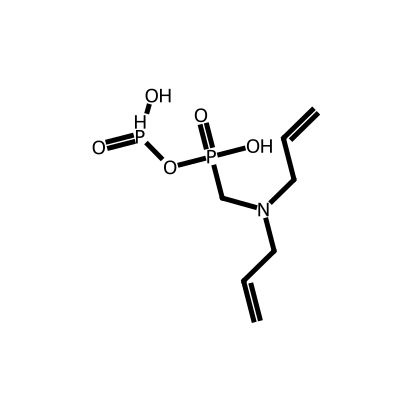 C=CCN(CC=C)CP(=O)(O)O[PH](=O)O